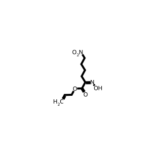 C=CCOC(=O)C(CCCC[N+](=O)[O-])=NO